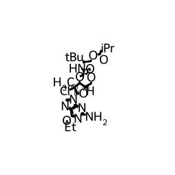 CCOc1nc(N)nc2c1ncn2[C@@H]1O[C@@H]2COP(=O)(NC(COC(=O)C(C)C)C(C)(C)C)OC2[C@@]1(C)Cl